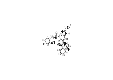 COCc1nc2c(C(=O)NCc3ccccc3Cl)cc(NC(=O)c3ccccc3C(F)(F)F)cc2[nH]1